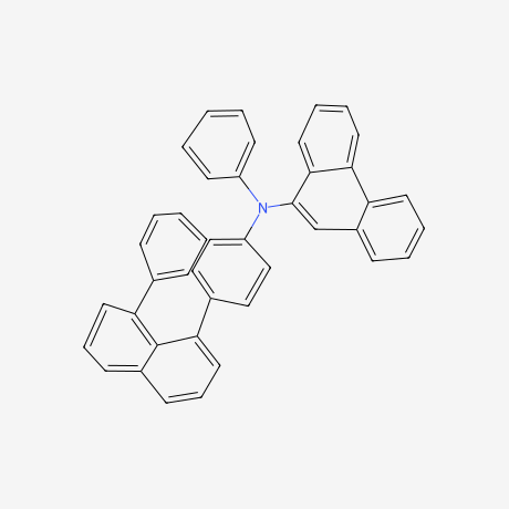 c1ccc(-c2cccc3cccc(-c4ccc(N(c5ccccc5)c5cc6ccccc6c6ccccc56)cc4)c23)cc1